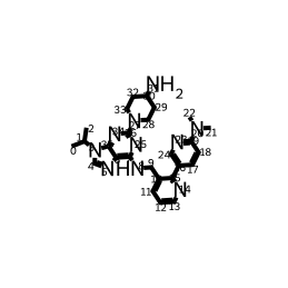 CC(C)n1cnc2c(NCc3cccnc3-c3ccc(N(C)C)nc3)nc(N3CCC(N)CC3)nc21